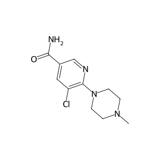 CN1CCN(c2ncc(C(N)=O)cc2Cl)CC1